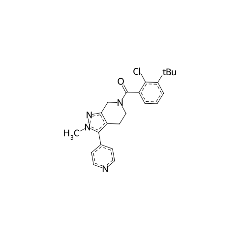 Cn1nc2c(c1-c1ccncc1)CCN(C(=O)c1cccc(C(C)(C)C)c1Cl)C2